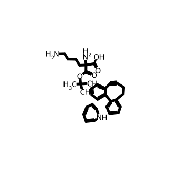 C1#Cc2ccccc2-c2ccccc2CC1.C1=CC=CNC=C1.CC(C)(C)OC(=O)C(N)(CCCCN)C(=O)O